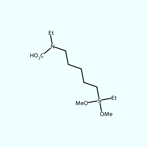 CCN(CCCCC[Si](CC)(OC)OC)C(=O)O